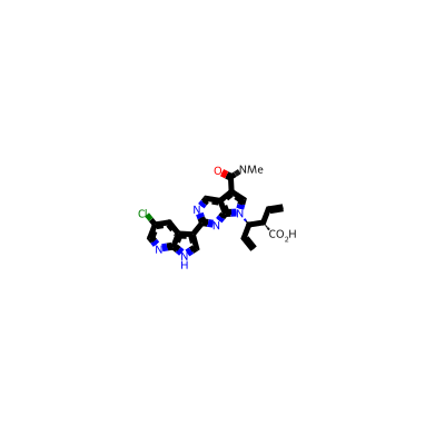 C=C[C@H](C(=O)O)[C@H](C=C)n1cc(C(=O)NC)c2cnc(-c3c[nH]c4ncc(Cl)cc34)nc21